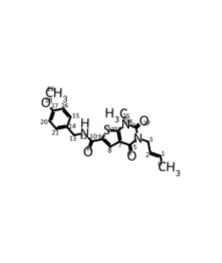 C/C=C/Cn1c(=O)c2cc(C(=O)NCc3ccc(OC)cc3)sc2n(C)c1=O